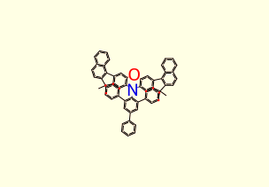 CC1(C)c2cc3c(cc2-c2c1ccc1ccccc21)Oc1cc2c(cc1N3c1c(-c3ccccc3)cc(-c3ccccc3)cc1-c1ccccc1)C(C)(C)c1ccc3ccccc3c1-2